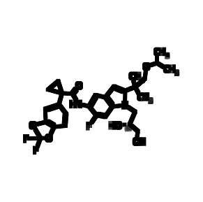 CC(C)OCC(C)(C)c1cc2cc(NC(=O)C3(c4ccc5c(c4)OC(F)(F)O5)CC3)c(F)cc2n1C[C@@H](O)CO